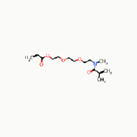 C=CC(=O)OCCOCCOCCN(C)C(=O)C(=C)C